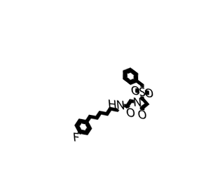 O=C(CN1C(=O)CC1S(=O)(=O)Cc1ccccc1)NCCCCCCc1ccc(F)cc1